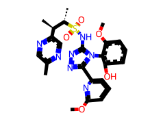 COC1=NC(c2nnc(NS(=O)(=O)[C@@H](C)[C@H](C)c3cnc(C)cn3)n2-c2c(O)cccc2OC)=C=C=C1